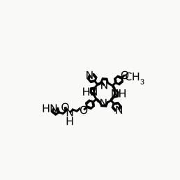 COc1ccc(-c2c3nc(c(-c4ccncc4)c4ccc([nH]4)c(-c4ccc(OCCCNC(=O)Cc5cc[nH]c5)cc4)c4nc(c(-c5ccncc5)c5ccc2[nH]5)C=C4)C=C3)cc1